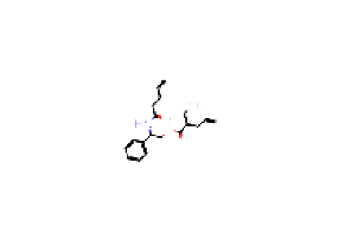 C=CCCC(=O)NC(COC(=O)C(CC=C)CC(=O)O)c1ccccc1